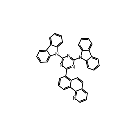 c1cnc2c(c1)ccc1c(-c3nc(-n4c5ccccc5c5ccccc54)nc(-n4c5ccccc5c5ccccc54)n3)cccc12